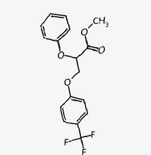 COC(=O)C(COc1ccc(C(F)(F)F)cc1)Oc1ccccc1